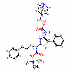 CC(C)(C)OC(=O)N(CCCc1ccccc1)c1nc(NC(=O)OCC23CCN(CC2)CC3)c(-c2ccccc2)s1